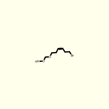 CCCOCOCC/C=C\CCBr